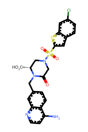 Nc1ccnc2cc(CN3C(=O)CN(S(=O)(=O)c4cc5ccc(Cl)cc5s4)C[C@H]3C(=O)O)ccc12